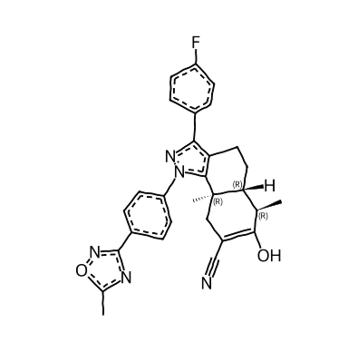 Cc1nc(-c2ccc(-n3nc(-c4ccc(F)cc4)c4c3[C@]3(C)CC(C#N)=C(O)[C@H](C)[C@H]3CC4)cc2)no1